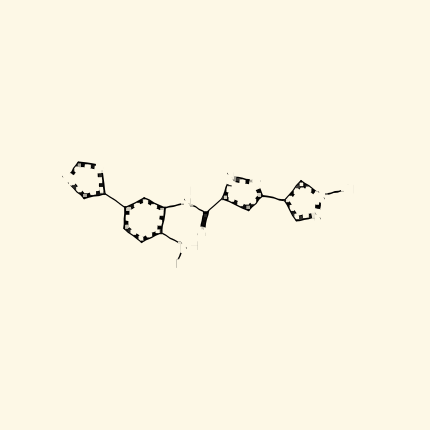 Cn1cc(-c2cc(C(=O)Nc3cc(-c4cncs4)ccc3NI)no2)cn1